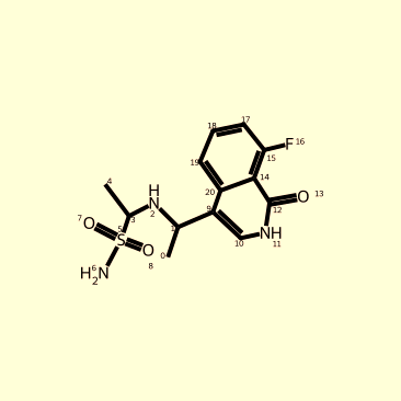 CC(NC(C)S(N)(=O)=O)c1c[nH]c(=O)c2c(F)cccc12